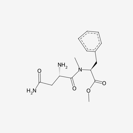 COC(=O)[C@H](Cc1ccccc1)N(C)C(=O)[C@@H](N)CC(N)=O